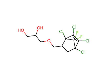 OCC(O)COCC1CC2(Cl)C(Cl)=C(Cl)C1(Cl)C2(F)F